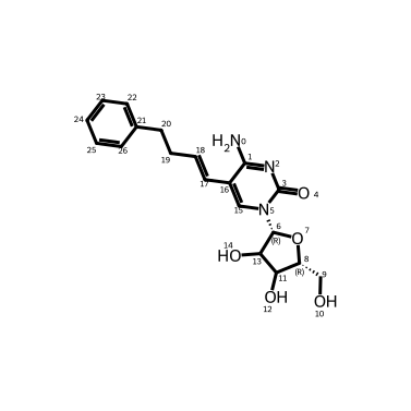 Nc1nc(=O)n([C@@H]2O[C@H](CO)C(O)C2O)cc1C=CCCc1ccccc1